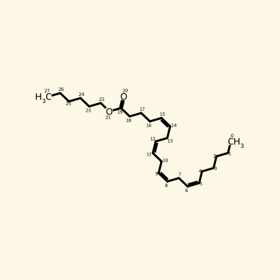 CCCCC/C=C\C/C=C\C/C=C\C/C=C\CCCC(=O)OCCCCCC